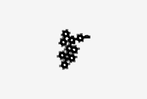 CC(C)(C)c1ccc(-c2nc(-c3ccccc3-c3ccccc3)nc(-c3ccc(-c4c5ccccc5c(-c5ccccc5)c5ccccc45)c4ccccc34)n2)cc1